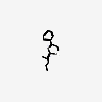 C=C/C(=N\C(N)=C(/C)CCC)c1ccccc1